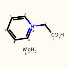 O=C(O)C[n+]1ccccc1.[MgH2]